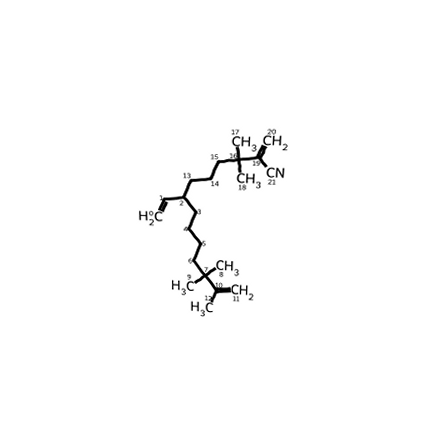 C=CC(CCCCC(C)(C)C(=C)C)CCCC(C)(C)C(=C)C#N